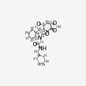 O=C(CN1C(=O)C2(COc3cc4c(cc32)OCO4)c2ccccc21)NCC1CCCCC1